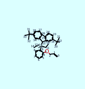 C=CCOc1ccccc1[Si](CC)(CC)C1c2cc(C(C)(C)C)ccc2-c2ccc(C(C)(C)C)cc21